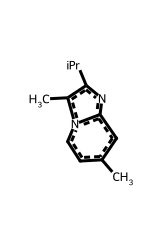 Cc1ccn2c(C)c(C(C)C)nc2c1